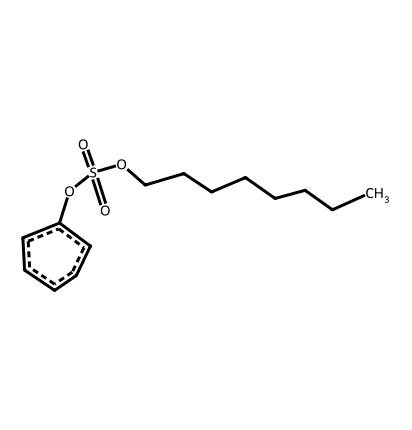 CCCCCCCCOS(=O)(=O)Oc1ccccc1